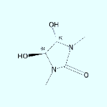 CN1C(=O)N(C)[C@@H](O)[C@@H]1O